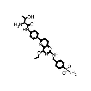 CCOc1nc(NCc2ccc(S(N)(=O)=O)cc2)nc2ccc(-c3ccc(NC(=O)C(N)C(C)O)cc3)nc12